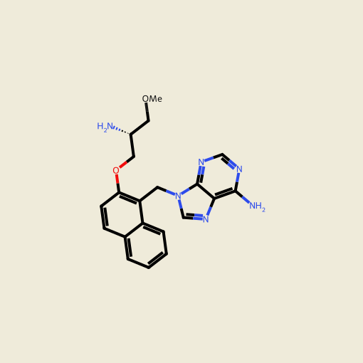 COC[C@@H](N)COc1ccc2ccccc2c1Cn1cnc2c(N)ncnc21